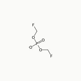 [O]P(=O)(OCF)OCF